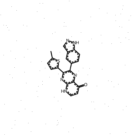 Cc1ccc(-c2nc3[nH]ccc(=O)c3nc2-c2ccc3[nH]ncc3c2)s1